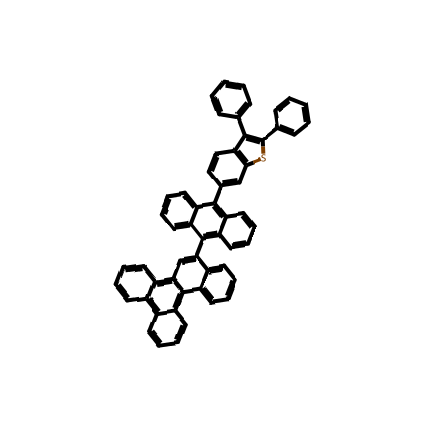 c1ccc(-c2sc3cc(-c4c5ccccc5c(-c5cc6c7ccccc7c7ccccc7c6c6ccccc56)c5ccccc45)ccc3c2-c2ccccc2)cc1